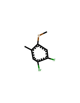 CSc1cc(F)c(Br)cc1C